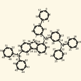 c1ccc(-c2cccc(N(c3cccc(N(c4ccccc4)c4ccccc4)c3)c3cccc4c3sc3ccc(N(c5ccccc5)c5ccccc5)cc34)c2)cc1